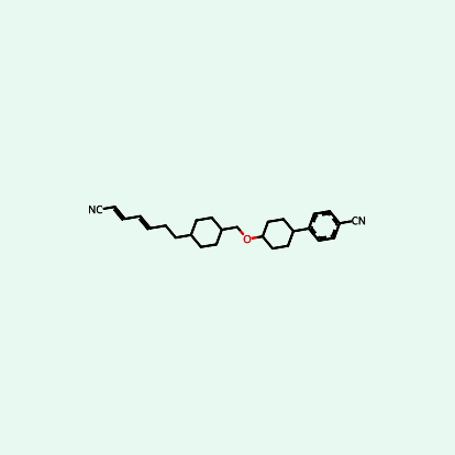 N#CC=CC=CCCC1CCC(COC2CCC(c3ccc(C#N)cc3)CC2)CC1